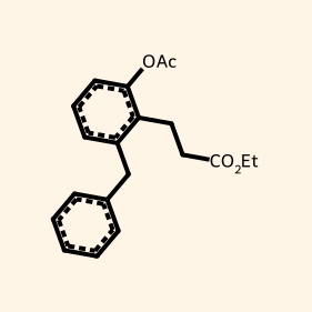 CCOC(=O)CCc1c(Cc2ccccc2)cccc1OC(C)=O